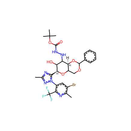 Cc1nc([C@@H]2OC3COC(c4ccccc4)O[C@@H]3C(NNC(=O)OC(C)(C)C)C2O)n(-c2cc(Br)c(C)nc2C(F)(F)F)n1